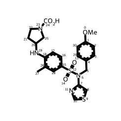 COc1ccc(CN(c2cscn2)S(=O)(=O)c2ccc(NC3CCN(C(=O)O)C3)c(C)c2)cc1